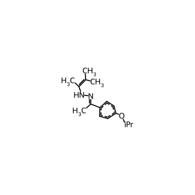 CC(C)=C(C)N/N=C(\C)c1ccc(OC(C)C)cc1